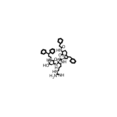 N=C(N)NCCCC(NC(=O)[C@@H]1CC(Cc2ccccc2)C2CCC(NC(=O)Cc3ccccc3)C(=O)N21)C(=O)N[C@@H](CC(=O)O)C(=O)NCCC(c1ccccc1)c1ccccc1